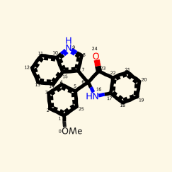 COc1cccc(C2(c3c[nH]c4ccccc34)Nc3ccccc3C2=O)c1